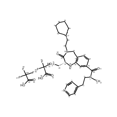 CN(CCc1ccncc1)C(=O)c1ccc2c(c1)N[C@H](CC(=O)O)C(=O)N(CCC1CCCCC1)C2.O=C(O)C(F)(F)F.O=C(O)C(F)(F)F